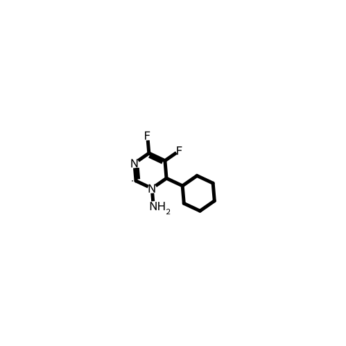 NN1[C]=NC(F)=C(F)C1C1CCCCC1